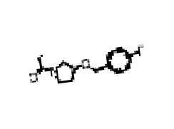 [CH2]C(=O)N1CCC(OCc2ccc(F)cc2)C1